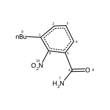 CCCCc1cccc(C(N)=O)c1[N+](=O)[O-]